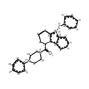 O=C(C1CCCc2c1c1ccccc1n2Cc1ccccc1)N1CCN(c2ccccc2)CC1